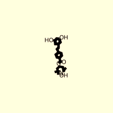 CC1(C)CC(OC(=O)c2ccc(/C=C/c3cc(O)cc(O)c3)cc2)CC(C)(C)N1O